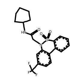 O=C(CN1c2cc(C(F)(F)F)ccc2-c2ccccc2S1(=O)=O)NC1CCCCC1